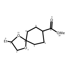 CCC1COC2(CCC(C(=O)OC)CC2)O1